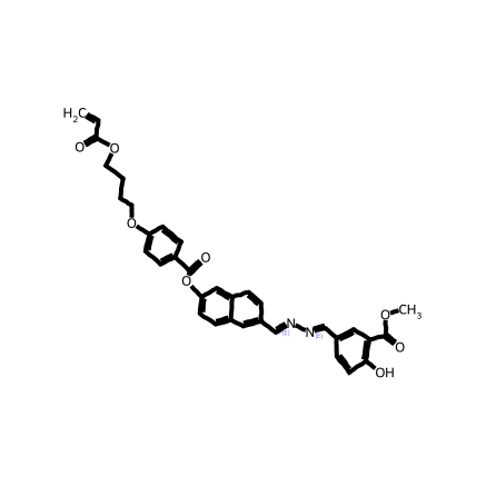 C=CC(=O)OCCCCOc1ccc(C(=O)Oc2ccc3cc(/C=N/N=C/c4ccc(O)c(C(=O)OC)c4)ccc3c2)cc1